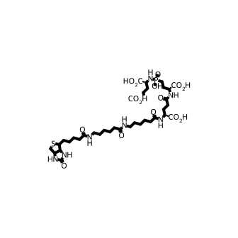 O=C(O)CC[C@H](NP(=O)(O)CC[C@H](NC(=O)CC[C@H](NC(=O)CCCCCNC(=O)CCCCCNC(=O)CCCCC1SCC2NC(=O)NC21)C(=O)O)C(=O)O)C(=O)O